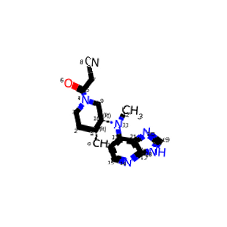 C[C@@H]1CCN(C(=O)CC#N)C[C@@H]1N(C)c1ccnc2[nH]cnc12